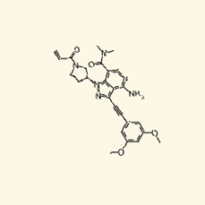 C=CC(=O)N1CC[C@H](n2nc(C#Cc3cc(OC)cc(OC)c3)c3c(N)ncc(C(=O)N(C)C)c32)C1